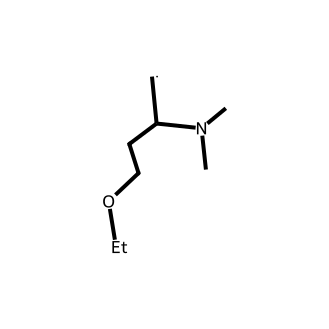 [CH2]C(CCOCC)N(C)C